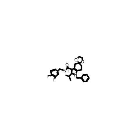 CC(C)C1C(C(=O)NCc2ccc(F)c(F)c2)C2=C(CCC3(C2)OCCO3)N1Cc1ccccc1